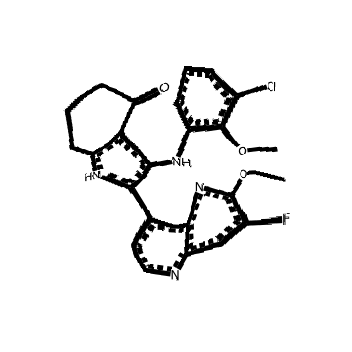 COc1nc2c(-c3[nH]c4c(c3Nc3cccc(Cl)c3OC)C(=O)CCC4)ccnc2cc1F